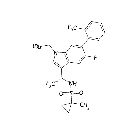 CC(C)(C)Cn1cc([C@H](NS(=O)(=O)C2(C)CC2)C(F)(F)F)c2cc(F)c(-c3ccccc3C(F)(F)F)cc21